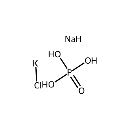 O=P(O)(O)O.[Cl][K].[NaH]